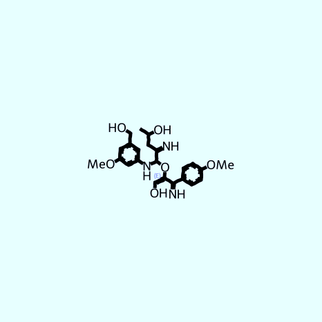 COc1ccc(C(=N)/C(=C\O)OC(Nc2cc(CO)cc(OC)c2)C(=N)CC(C)O)cc1